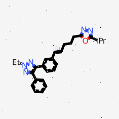 CCn1nc(-c2ccccc2)c(-c2cccc(/C=C/CCCc3nnc(C(C)C)o3)c2)n1